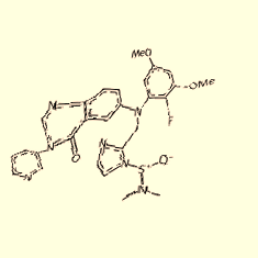 COc1cc(OC)c(F)c(N(Cc2nccn2[S+]([O-])N(C)C)c2ccc3ncn(-c4cccnc4)c(=O)c3c2)c1